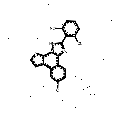 N#Cc1cccc(C#N)c1-c1nc2c3ccc(Cl)cc3c3ccsc3c2[nH]1